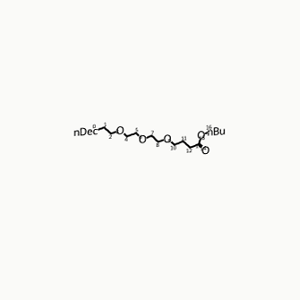 CCCCCCCCCCCCOCCOCCOCCCC(=O)OCCCC